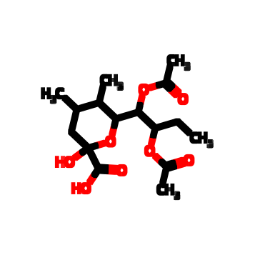 CCC(OC(C)=O)C(OC(C)=O)C1OC(O)(C(=O)O)CC(C)C1C